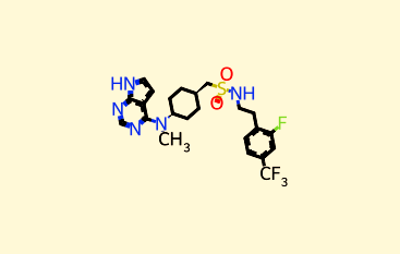 CN(c1ncnc2[nH]ccc12)[C@H]1CC[C@H](CS(=O)(=O)NCCc2ccc(C(F)(F)F)cc2F)CC1